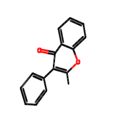 Cc1oc2ccccc2c(=O)c1-c1ccccc1